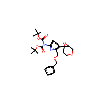 CC(C)(C)OC(=O)N(C(=O)OC(C)(C)C)c1ccc(C23CCOCC2O3)c(COCc2ccccc2)n1